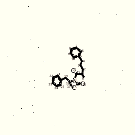 CC(CCCc1ccccc1)C(=O)N1C(=O)OCC1Cc1ccccc1